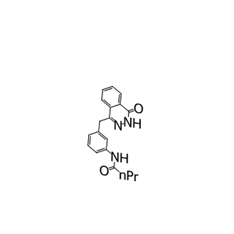 CCCC(=O)Nc1cccc(Cc2n[nH]c(=O)c3ccccc23)c1